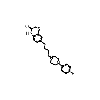 O=C1CSc2cc(CCCCN3CCN(c4ccc(F)cc4)CC3)ccc2N1